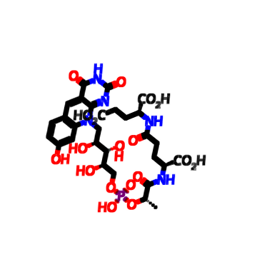 C[C@H](OP(=O)(O)OC[C@@H](O)[C@@H](O)[C@@H](O)Cn1c2nc(=O)[nH]c(=O)c-2cc2ccc(O)cc21)C(=O)N[C@@H](CCC(=O)N[C@@H](CCC(=O)O)C(=O)O)C(=O)O